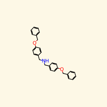 c1ccc(COc2ccc(CNCc3ccc(OCc4ccccc4)cc3)cc2)cc1